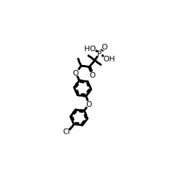 CC(Oc1ccc(Oc2ccc(Cl)cc2)cc1)C(=O)C(C)(C)P(=O)(O)O